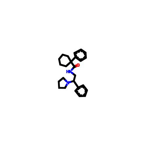 O=C(NCC(c1ccccc1)N1CCCC1)C1(c2ccccc2)CCCCC1